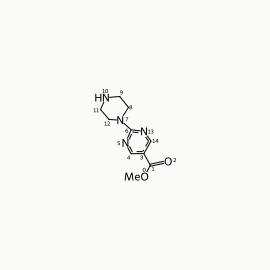 COC(=O)c1cnc(N2CCNCC2)nc1